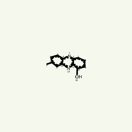 Cc1ccc2nc3cccc(O)c3nc2c1